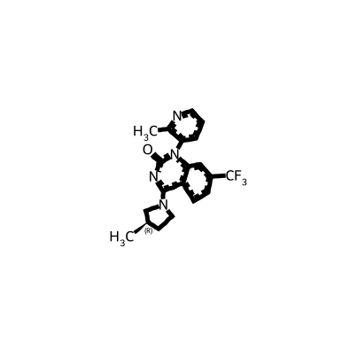 Cc1ncccc1-n1c(=O)nc(N2CC[C@@H](C)C2)c2ccc(C(F)(F)F)cc21